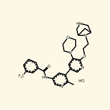 Cc1ncc(NC(=O)c2cccc(C(F)(F)F)c2)cc1-c1cnc(OCCN2C3CNCC2C3)c(N2CCOCC2)c1.Cl